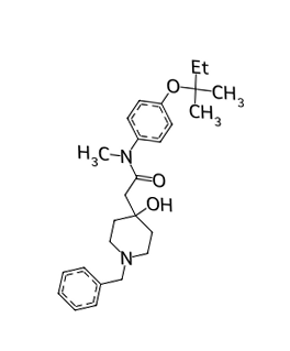 CCC(C)(C)Oc1ccc(N(C)C(=O)CC2(O)CCN(Cc3ccccc3)CC2)cc1